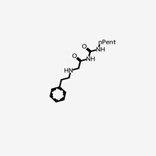 CCCCCNC(=O)NC(=O)CNCCc1ccccc1